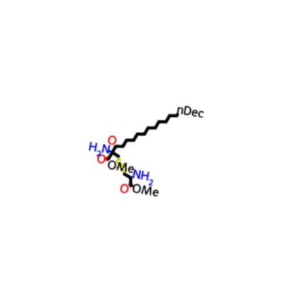 CCCCCCCCCCCCCCCCCCCCCC(=O)[C@](N)(CSSC[C@H](N)C(=O)OC)C(=O)OC